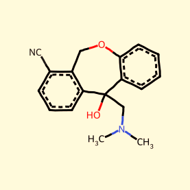 CN(C)CC1(O)c2ccccc2OCc2c(C#N)cccc21